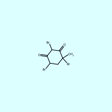 CC1(Br)CC(Br)C(=O)C(Br)C1=O